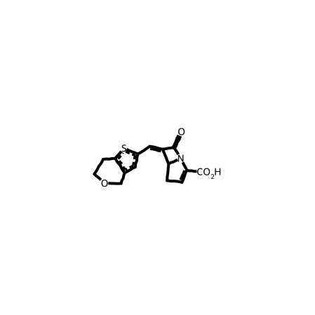 O=C(O)C1=CCC2/C(=C\c3cc4c(s3)CCOC4)C(=O)N12